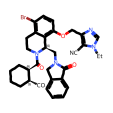 CCn1cnc(COc2ccc(Br)c3c2[C@@H](CN2Cc4ccccc4C2=O)N(C(=O)[C@@H]2CCCC[C@@H]2C(=O)O)CC3)c1C#N